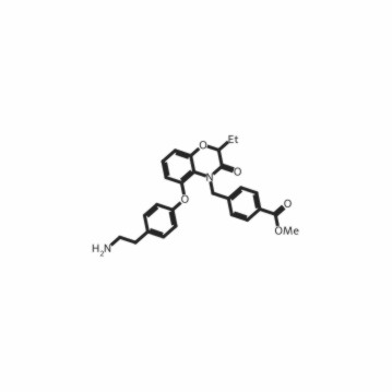 CCC1Oc2cccc(Oc3ccc(CCN)cc3)c2N(Cc2ccc(C(=O)OC)cc2)C1=O